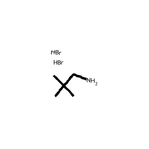 Br.Br.CC(C)(C)CN